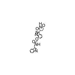 Cn1cc(CNC(=O)COc2cccc3c(C4CCC(=O)NC4=O)nn(C)c23)c2ccccc21